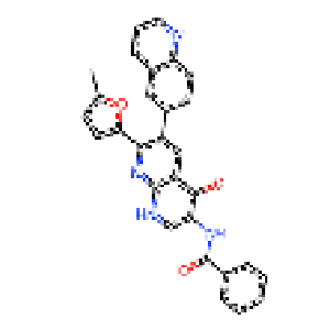 Cc1ccc(-c2nc3[nH]cc(NC(=O)c4ccccc4)c(=O)c3cc2-c2ccc3ncccc3c2)o1